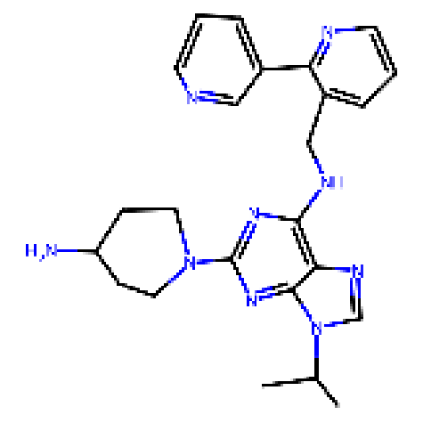 CC(C)n1cnc2c(NCc3cccnc3-c3cccnc3)nc(N3CCC(N)CC3)nc21